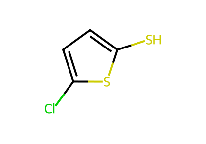 Sc1ccc(Cl)s1